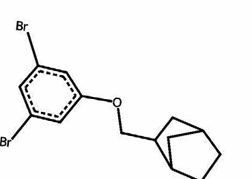 Brc1cc(Br)cc(OCC2CC3CCC2C3)c1